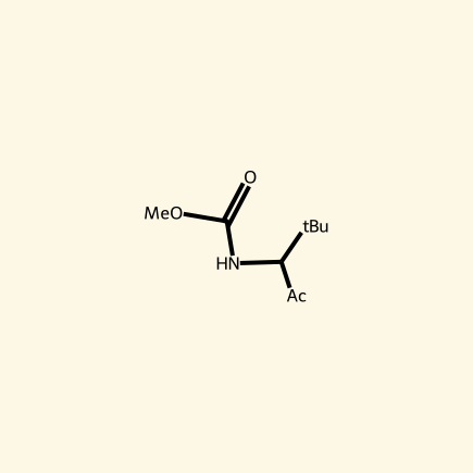 COC(=O)NC(C(C)=O)C(C)(C)C